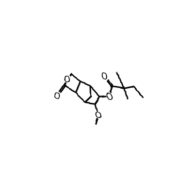 CCC(C)(C)C(=O)OC1C2CC(C1OC)C1C(=O)OCC21